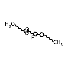 CCCCCCCC1CCC(c2ccc(CCC3OCC(CCCCCCC)CO3)c(F)c2)CC1